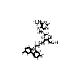 Cc1ccc2c(c1)c1ccc(F)cc1n2CCNCC(OC(C)n1cnc2c(N)ncnc21)C(O)CO